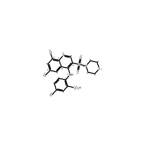 O=C(O)c1cc(Cl)ccc1Nc1c(S(=O)(=O)N2CCSCC2)cnc2c(Cl)cc(Cl)cc12